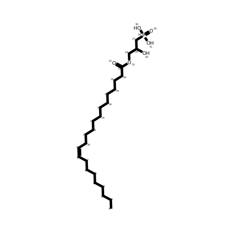 CCCCCCCC/C=C\CCCCCCCCCCCC(=O)OCC(O)CP(=O)(O)O